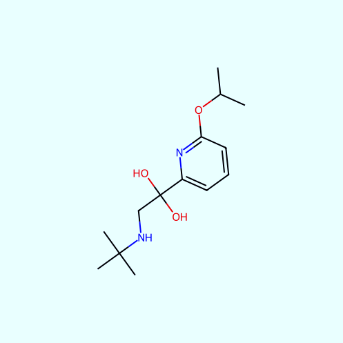 CC(C)Oc1cccc(C(O)(O)CNC(C)(C)C)n1